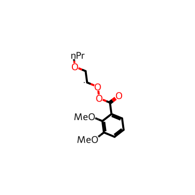 CCCOC[CH]OOC(=O)c1cccc(OC)c1OC